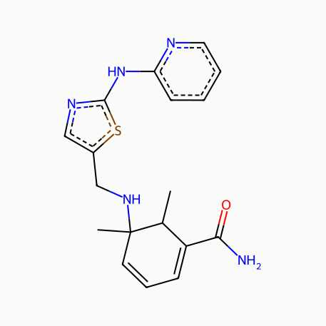 CC1C(C(N)=O)=CC=CC1(C)NCc1cnc(Nc2ccccn2)s1